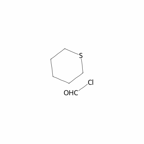 C1CCSCC1.O=CCl